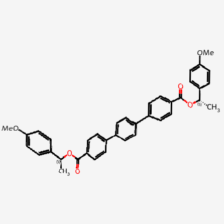 COc1ccc([C@H](C)OC(=O)c2ccc(-c3ccc(-c4ccc(C(=O)O[C@@H](C)c5ccc(OC)cc5)cc4)cc3)cc2)cc1